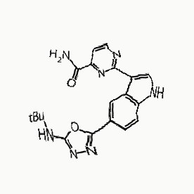 CC(C)(C)Nc1nnc(-c2ccc3[nH]cc(-c4nccc(C(N)=O)n4)c3c2)o1